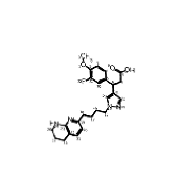 COc1ccc(C(CC(=O)O)c2cnn(CCCCc3ccc4c(n3)NCCC4)c2)cc1F